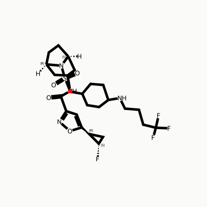 O=C(NC1C[C@H]2CC[C@@H](C1)N2S(=O)(=O)CC1CCC(NCCCC(F)(F)F)CC1)c1cc([C@H]2C[C@@H]2F)on1